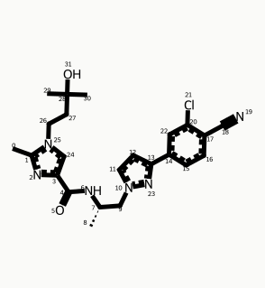 Cc1nc(C(=O)N[C@@H](C)Cn2ccc(-c3ccc(C#N)c(Cl)c3)n2)cn1CCC(C)(C)O